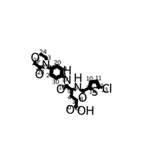 O=C(O)CCC(NC(=O)c1ccc(Cl)s1)C(=O)Nc1ccc(N2CCOCC2=O)cc1